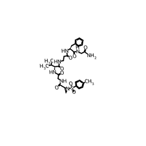 Cc1ccc(S(=O)(=O)N2CC2C(=O)NCC(=O)N[C@H](C(=O)NCCC(=O)N[C@@H](Cc2ccccc2)C(=O)NCC(N)=O)C(C)C)cc1